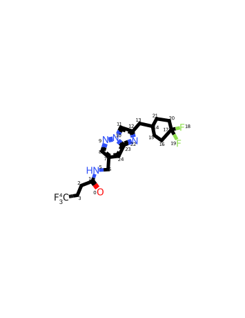 O=C(CCC(F)(F)F)NCc1cnn2cc(CC3CCC(F)(F)CC3)nc2c1